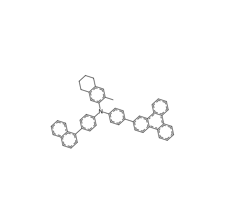 Cc1cc2c(cc1N(c1ccc(-c3ccc4c5ccccc5c5ccccc5c4c3)cc1)c1ccc(-c3cccc4ccccc34)cc1)CCCC2